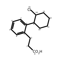 O=C(O)CCc1ccccc1C1CCCCC1Cl